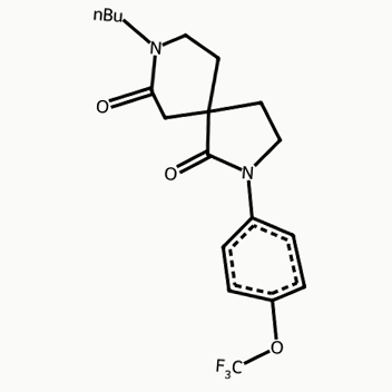 CCCCN1CCC2(CCN(c3ccc(OC(F)(F)F)cc3)C2=O)CC1=O